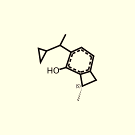 CC(c1ccc2c(c1O)[C@@H](C)C2)C1CC1